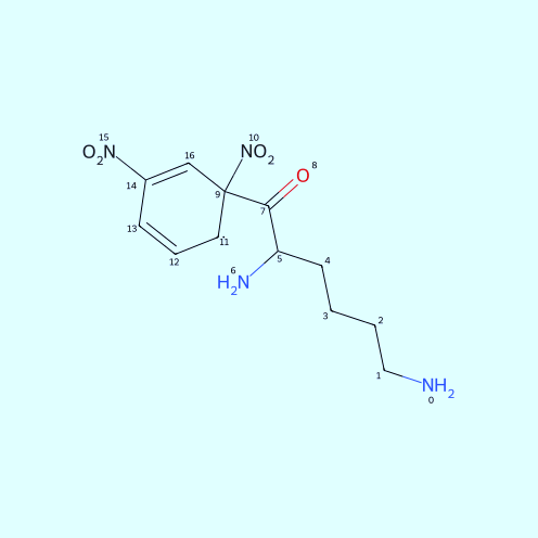 NCCCCC(N)C(=O)C1([N+](=O)[O-])[CH]C=CC([N+](=O)[O-])=C1